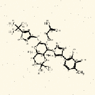 Cc1ccc(-c2cn([C@@H]3[C@@H](OCC(=O)O)[C@@H](Cc4cc(C(C)(C)C)on4)O[C@@H]4COC(C)(C)O[C@H]34)nn2)c(F)c1F